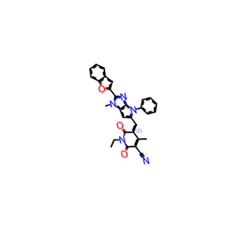 CCN1C(=O)C(C#N)=C(C)/C(=C/c2cc3c(nc(-c4cc5ccccc5o4)n3C)n2-c2ccccc2)C1=O